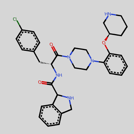 O=C(N[C@H](Cc1ccc(Cl)cc1)C(=O)N1CCN(c2ccccc2O[C@@H]2CCCNC2)CC1)C1NCc2ccccc21